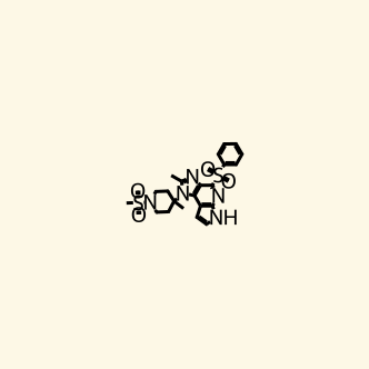 Cc1nc2c(S(=O)(=O)c3ccccc3)nc3[nH]ccc3c2n1C1(C)CCN(S(C)(=O)=O)CC1